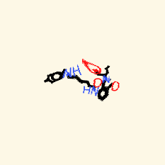 CCCC(C=O)N(C)C(=O)c1c(C=O)cccc1NCCCCCCNC1(C)CC2CC(C)CC(C2)C1